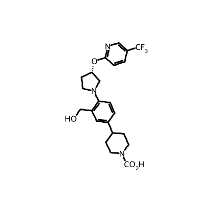 O=C(O)N1CCC(c2ccc(N3CC[C@H](Oc4ccc(C(F)(F)F)cn4)C3)c(CO)c2)CC1